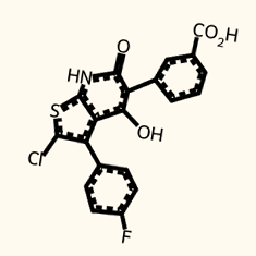 O=C(O)c1cccc(-c2c(O)c3c(-c4ccc(F)cc4)c(Cl)sc3[nH]c2=O)c1